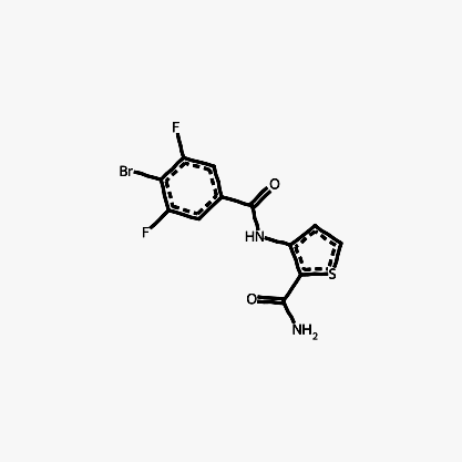 NC(=O)c1sccc1NC(=O)c1cc(F)c(Br)c(F)c1